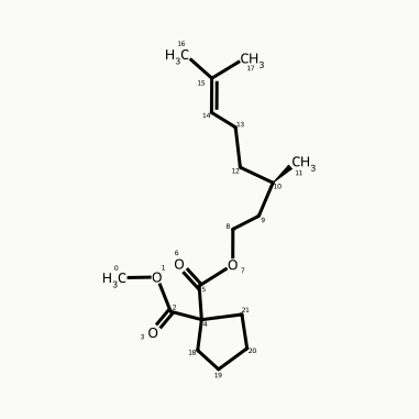 COC(=O)C1(C(=O)OCC[C@H](C)CCC=C(C)C)CCCC1